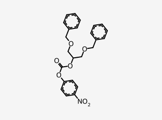 O=C(Oc1ccc([N+](=O)[O-])cc1)OC(COCc1ccccc1)COCc1ccccc1